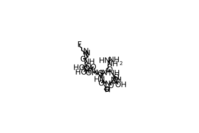 N=C(N)NCCC[C@@H]1NC(=O)[C@H](CCCCNC(=O)C2O[C@H](CNC(=O)Cn3cc(CCCF)nn3)[C@H](O)C(O)[C@@H]2O)NC(=O)[C@@H](Cc2ccccc2)NC(=O)[C@H](CC(=O)O)NC(=O)CNC1=O